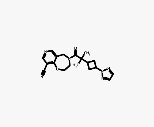 CC(C)(C(=O)N1CCOc2c(C#N)cncc2C1)C1CC(n2nccn2)C1